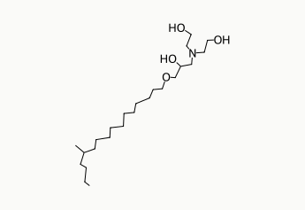 CCCCC(C)CCCCCCCCCCCOCC(O)CN(CCO)CCO